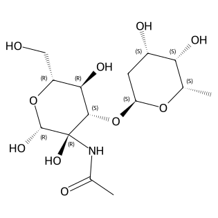 CC(=O)N[C@]1(O)[C@H](O)O[C@H](CO)[C@@H](O)[C@@H]1O[C@H]1C[C@H](O)[C@H](O)[C@H](C)O1